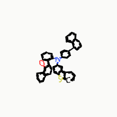 c1ccc2c(-c3ccc(N(c4ccc5sc6ccccc6c5c4)c4cccc5oc6c7ccccc7ccc6c45)cc3)cccc2c1